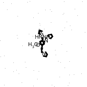 COc1cc2c(Nc3cccs3)nc(N3CCCC3)nc2cc1C#CCN1CCCC1